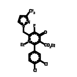 CCOC(=O)c1c(-c2ccc(Cl)c(Cl)c2)n(CC)c(Cn2ccc(C(F)(F)F)n2)c(F)c1=O